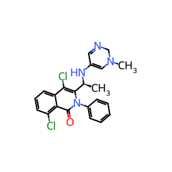 C[C@H](NC1=CN(C)CN=C1)c1c(Cl)c2cccc(Cl)c2c(=O)n1-c1ccccc1